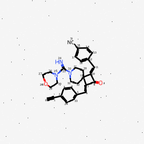 C#Cc1ccc(/C=C2/C(=O)/C(=C/c3ccc(C#N)cc3)C23CCN(C(=N)N2CCOCC2)CC3)cc1